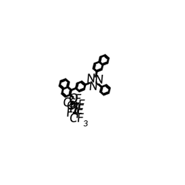 O=S(=O)(Oc1ccc2ccccc2c1-c1ccc(-c2nc(-c3ccccc3)nc(-c3ccc4ccccc4c3)n2)cc1)C(F)(F)C(F)(F)C(F)(F)C(F)(F)F